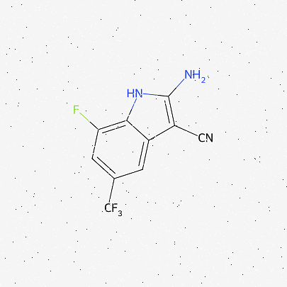 N#Cc1c(N)[nH]c2c(F)cc(C(F)(F)F)cc12